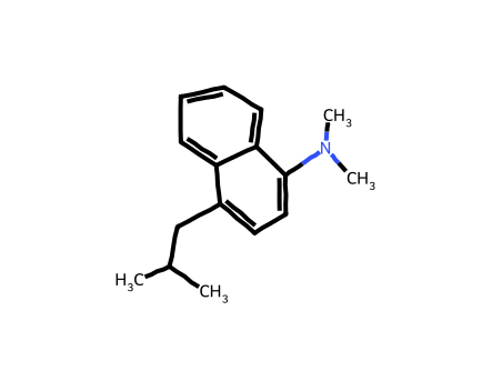 CC(C)Cc1ccc(N(C)C)c2ccccc12